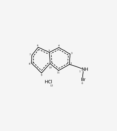 BrNc1ccc2ccccc2c1.Cl